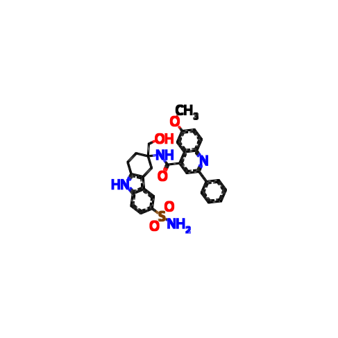 COc1ccc2nc(-c3ccccc3)cc(C(=O)NC3(CO)CCc4[nH]c5ccc(S(N)(=O)=O)cc5c4C3)c2c1